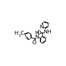 Cc1ccc(C(=O)Nc2ccccc2C(=O)Nc2ccccn2)cc1